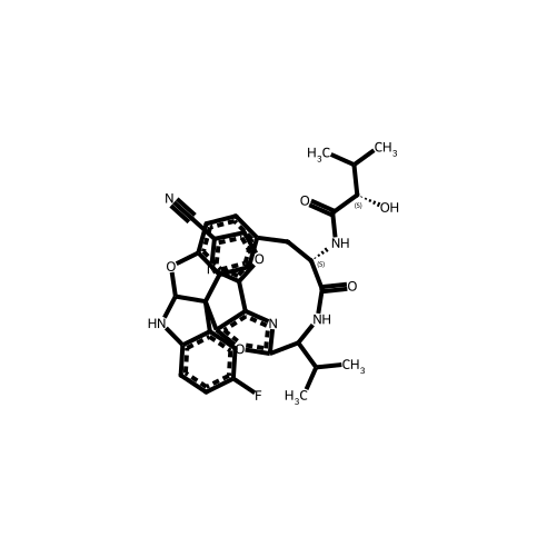 CC(C)C1NC(=O)[C@@H](NC(=O)[C@@H](O)C(C)C)Cc2ccc3c(c2)C2(c4cc(F)ccc4NC2O3)c2oc1nc2-c1nc(C#N)co1